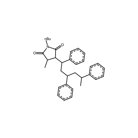 CCCCN1C(=O)C(C)C(C(CC(CC(C)c2ccccc2)c2ccccc2)c2ccccc2)C1=O